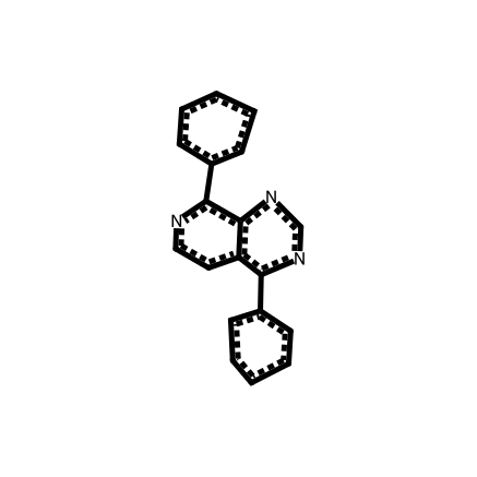 c1ccc(-c2ncnc3c(-c4ccccc4)nccc23)cc1